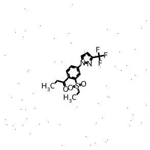 CCC(=O)c1ccc(-n2ccc(C(F)(F)F)n2)cc1S(=O)(=O)CC